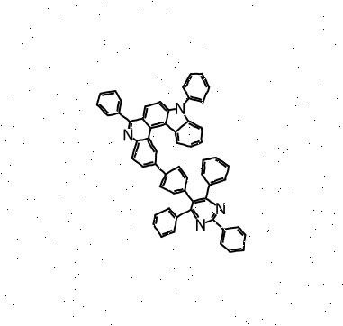 c1ccc(-c2nc(-c3ccccc3)c(-c3ccc(-c4ccc5nc(-c6ccccc6)c6ccc7c(c8ccccc8n7-c7ccccc7)c6c5c4)cc3)c(-c3ccccc3)n2)cc1